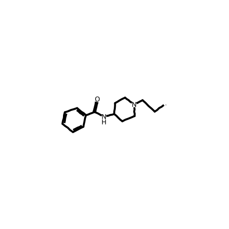 [CH2]CCN1CCC(NC(=O)c2ccccc2)CC1